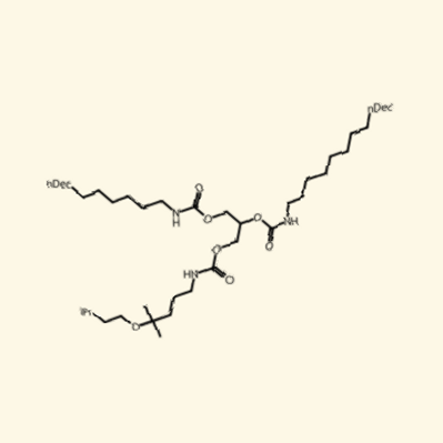 CCCCCCCCCCCCCCCCCCNC(=O)OC(COC(=O)NCCCCCCCCCCCCCCCC)COC(=O)NCCCC(C)(C)OCCC(C)C